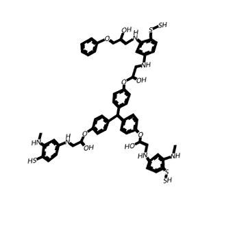 CNc1cc(NCC(O)Oc2ccc(C(c3ccc(OC(O)CNc4ccc(SS)c(NC)c4)cc3)c3ccc(OC(O)CNc4ccc(SS)c(NCC(O)COc5ccccc5)c4)cc3)cc2)ccc1S